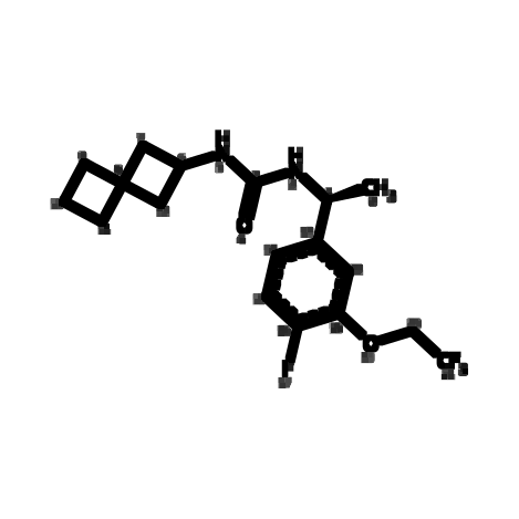 C[C@H](NC(=O)NC1CC2(CCC2)C1)c1ccc(F)c(OCC(F)(F)F)c1